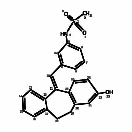 CS(=O)(=O)Nc1cccc(/C=C2/c3ccccc3CCc3cc(O)ccc32)c1